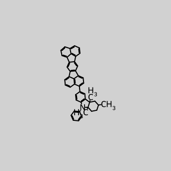 CC1CCC2(C)N(c3ccccc3)c3ccc(-c4ccc5c6cc7c(cc6c6cccc4c65)c4cccc5cccc7c54)cc3C2(C)C1